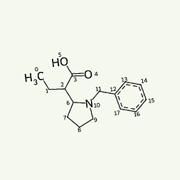 CCC(C(=O)O)C1CCCN1Cc1ccccc1